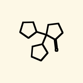 O=C1CCCC1(C1CCCC1)C1CCCC1